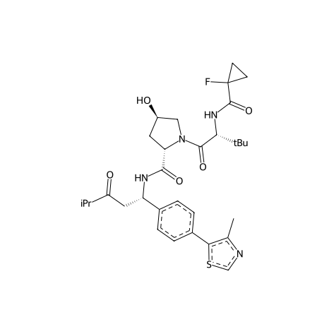 Cc1ncsc1-c1ccc([C@H](CC(=O)C(C)C)NC(=O)[C@@H]2C[C@@H](O)CN2C(=O)[C@H](NC(=O)C2(F)CC2)C(C)(C)C)cc1